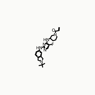 C=CC(=O)N1CCCC(Nc2nc(Nc3ccc4c(c3)CN(C(C)(C)C)C4)ncc2F)C1